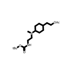 CC(=O)OCCC1CCC(N(C)CCNC(=O)OC(C)(C)C)CC1